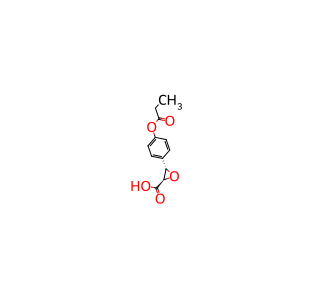 CCC(=O)Oc1ccc([C@@H]2O[C@H]2C(=O)O)cc1